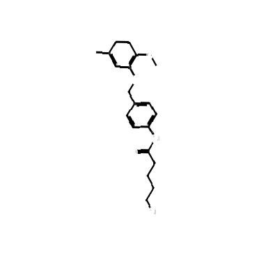 CNC1=C(SCc2ccc(NC(=O)CCCCN)cc2)C=C(C)CC1